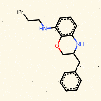 CC(C)CCNc1cc[c]c2c1OCC(Cc1ccccc1)N2